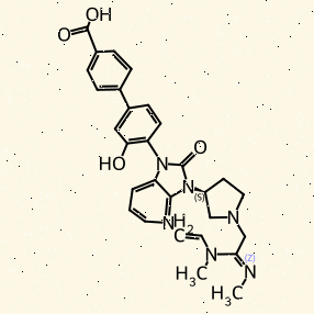 C=CN(C)/C(CN1CC[C@H](n2c(=O)n(-c3ccc(-c4ccc(C(=O)O)cc4)cc3O)c3cccnc32)C1)=N\C